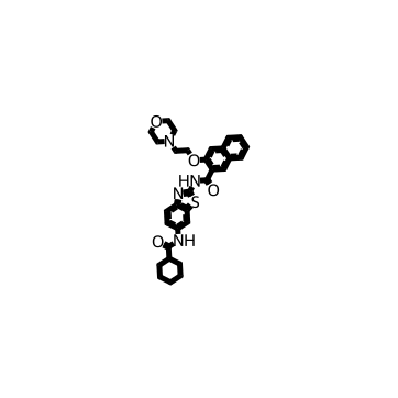 O=C(Nc1nc2ccc(NC(=O)C3CCCCC3)cc2s1)c1cc2ccccc2cc1OCCN1CCOCC1